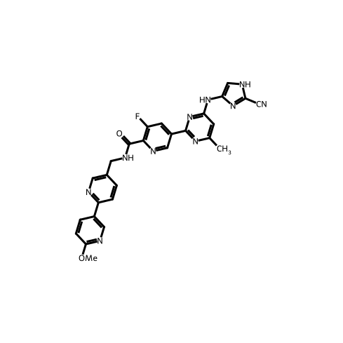 COc1ccc(-c2ccc(CNC(=O)c3ncc(-c4nc(C)cc(Nc5c[nH]c(C#N)n5)n4)cc3F)cn2)cn1